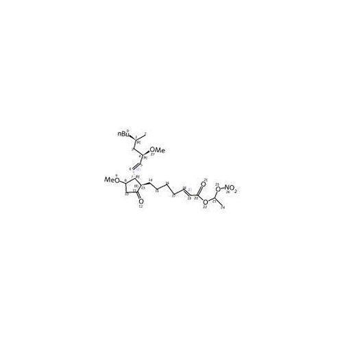 CCCC[C@@H](C)C[C@H](/C=C/[C@H]1C(OC)CC(=O)[C@@H]1CCCC/C=C/C(=O)OC(C)O[N+](=O)[O-])OC